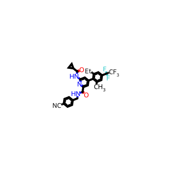 CCc1cc(C(F)(F)C(F)(F)F)cc(C)c1-c1cc(NC(=O)C2CC2)nc(C(=O)NCc2ccc(C#N)cc2)c1